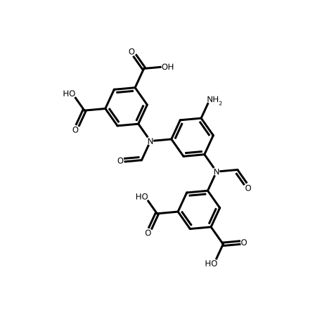 Nc1cc(N(C=O)c2cc(C(=O)O)cc(C(=O)O)c2)cc(N(C=O)c2cc(C(=O)O)cc(C(=O)O)c2)c1